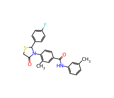 Cc1cccc(NC(=O)c2ccc(N3C(=O)CSC3c3ccc(F)cc3)c(C)c2)c1